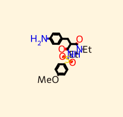 CCN(CC)C(=O)C(Cc1ccc(N)cc1)C(=O)NS(=O)(=O)c1ccc(OC)cc1